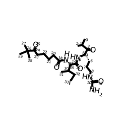 CC(C)C(=O)[C@H](CCCNC(N)=O)NC(=O)[C@@H](NC(=O)CCCCC(=O)C(C)(C)C)C(C)CI